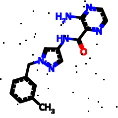 Cc1cccc(Cn2cc(NC(=O)c3nccnc3N)cn2)c1